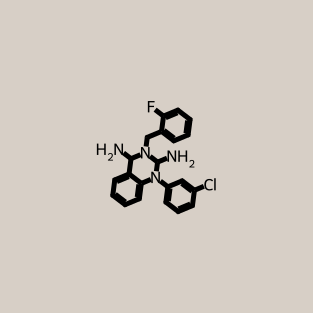 NC1c2ccccc2N(c2cccc(Cl)c2)C(N)N1Cc1ccccc1F